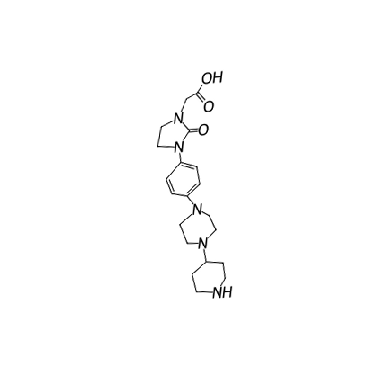 O=C(O)CN1CCN(c2ccc(N3CCN(C4CCNCC4)CC3)cc2)C1=O